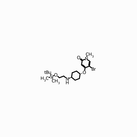 Cn1cc(Br)c(O[C@H]2CC[C@H](NCCO[Si](C)(C)C(C)(C)C)CC2)cc1=O